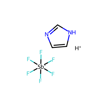 [F][Sb-]([F])([F])([F])([F])[F].[H+].c1c[nH]cn1